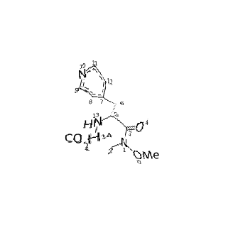 CON(C)C(=O)[C@@H](Cc1ccncc1)NC(=O)O